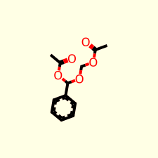 CC(=O)OCOC(OC(C)=O)c1ccccc1